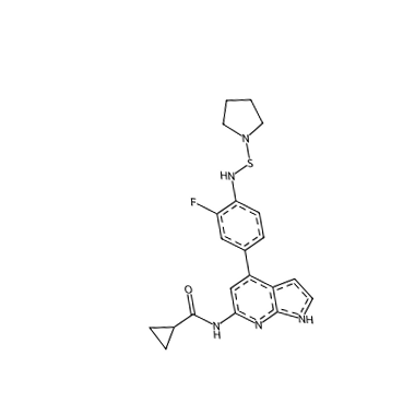 O=C(Nc1cc(-c2ccc(NSN3CCCC3)c(F)c2)c2cc[nH]c2n1)C1CC1